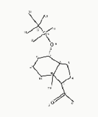 CC(=O)C1CCC2[C@@H](O[Si](C)(C)C(C)(C)C)CCCC12C